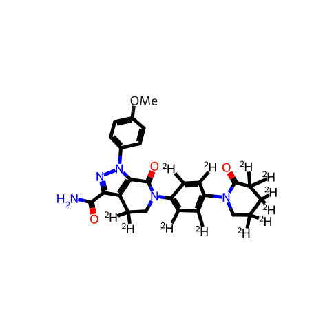 [2H]c1c([2H])c(N2CC([2H])([2H])C([2H])([2H])C([2H])([2H])C2=O)c([2H])c([2H])c1N1CC([2H])([2H])c2c(C(N)=O)nn(-c3ccc(OC)cc3)c2C1=O